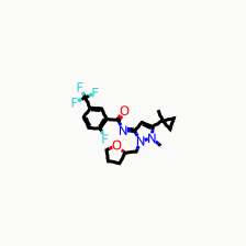 Cn1c(C2(C)CC2)cc(=NC(=O)c2cc(C(F)(F)F)ccc2F)n1CC1CCCO1